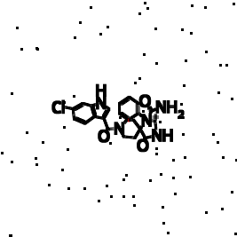 NC(=O)[N+]1(c2ccccc2)CNC(=O)C12CCN(C(=O)c1c[nH]c3cc(Cl)ccc13)CC2